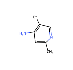 CCc1cnc(C)cc1N